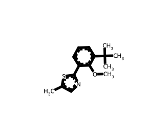 COc1c(-c2ncc(C)s2)cccc1C(C)(C)C